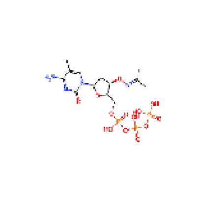 CC(C)=NO[C@@H]1C[C@H](n2cc(C)c(N)nc2=O)OC1COP(=O)(O)OP(=O)(O)OP(=O)(O)O